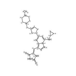 CN1CCN(CC2=CCC(c3cc(NC4CC4)n4ncc(/C=C5\NC(=O)NC5=O)c4n3)S2)CC1